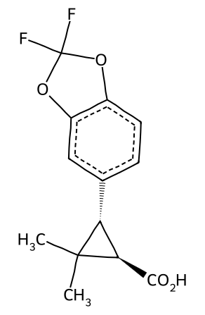 CC1(C)[C@H](C(=O)O)[C@H]1c1ccc2c(c1)OC(F)(F)O2